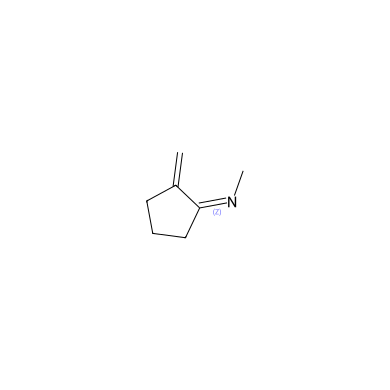 C=C1CCC/C1=N/C